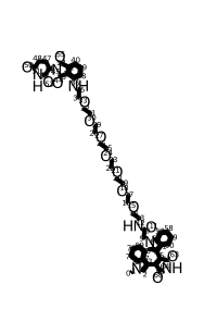 Cn1cc(C2=C(c3cn(CC(=O)NCCOCCOCCOCCOCCOCCOCCOCCNc4cccc5c4C(=O)N(C4CCC(=O)NC4=O)C5=O)c4ccccc34)C(=O)NC2=O)c2ccccc21